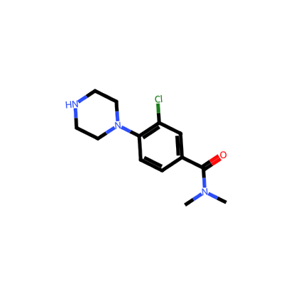 CN(C)C(=O)c1ccc(N2CCNCC2)c(Cl)c1